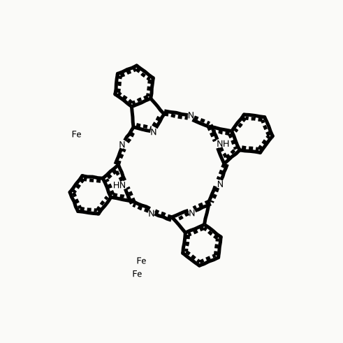 [Fe].[Fe].[Fe].c1ccc2c(c1)-c1nc-2nc2[nH]c(nc3nc(nc4[nH]c(n1)c1ccccc41)-c1ccccc1-3)c1ccccc21